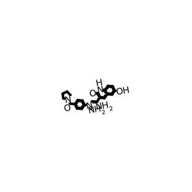 N/C(=C\N(N)c1ccc(C(=O)N2CCCC2)cc1)c1cc2cc(O)ccc2[nH]c1=O